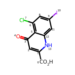 O=C(O)c1cc(=O)c2c(Cl)cc(I)cc2[nH]1